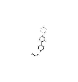 CCCC1CCC(c2ccc(-c3ccc(OC(F)(F)C=C(F)F)cc3)c(F)c2)CC1